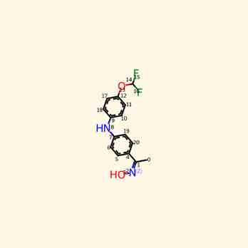 C/C(=N/O)c1ccc(Nc2ccc(OC(F)F)cc2)cc1